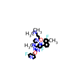 Cc1c(F)ccc2c(-c3ncc4c(N(C)[C@@H]5CCN(C(=O)/C=C/CN(C)C)C5)nc(OC[C@@]56CCCN5C[C@H](F)C6)nc4c3F)cccc12